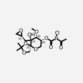 CO[C@@H]1[C@H](OC(=O)N(Cl)C(C)=O)CO[C@]2(COC(C)(C)O2)[C@]1(O)C[C@H]1CO1